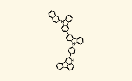 c1ccc2c(c1)-c1cccc3nc(-c4ccc(-n5c6ccccc6c6cc(-c7ccc8c(c7)c7ccccc7n8-c7ccc8ccccc8c7)ccc65)cc4)cc-2c13